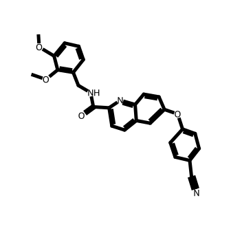 COc1cccc(CNC(=O)c2ccc3cc(Oc4ccc(C#N)cc4)ccc3n2)c1OC